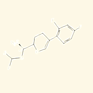 C[C@H](OC(F)F)C1CCC(c2ccc(F)cc2F)=CO1